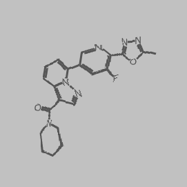 Cc1nnc(-c2ncc(-c3cccc4c(C(=O)N5CCCCC5)cnn34)cc2F)o1